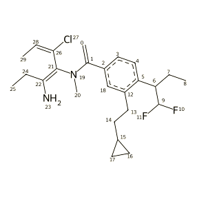 C=C(c1ccc(C(CC)C(F)F)c(CCC2CC2)c1)N(C)C(=C(\N)CC)/C(Cl)=C\C